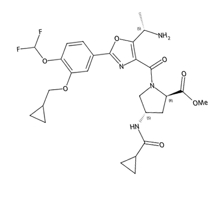 COC(=O)[C@H]1C[C@H](NC(=O)C2CC2)CN1C(=O)c1nc(-c2ccc(OC(F)F)c(OCC3CC3)c2)oc1[C@H](C)N